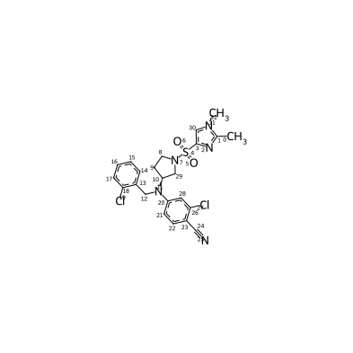 Cc1nc(S(=O)(=O)N2CC[C@H](N(Cc3ccccc3Cl)c3ccc(C#N)c(Cl)c3)C2)cn1C